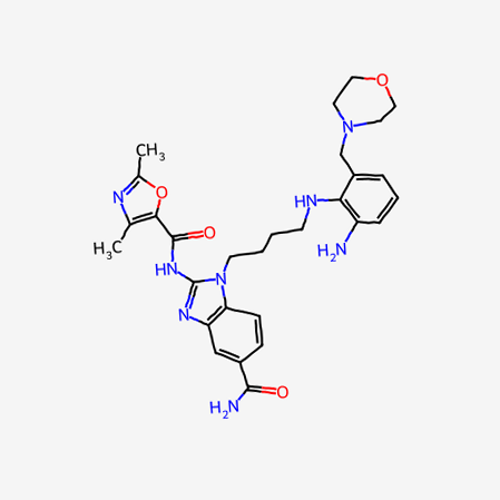 Cc1nc(C)c(C(=O)Nc2nc3cc(C(N)=O)ccc3n2CCCCNc2c(N)cccc2CN2CCOCC2)o1